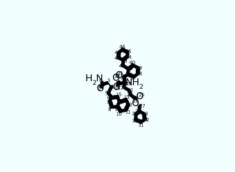 NC(=O)C[C@H](Cc1ccc2ccccc2c1)OC(=O)[C@](N)(CCCC(=O)OCc1ccccc1)C(=O)c1ccccc1Cc1ccccc1